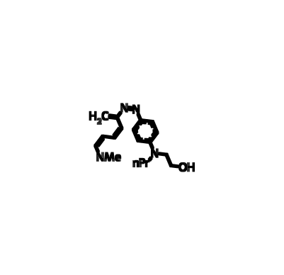 C=C(/C=C\C=C/NC)/N=N\c1ccc(N(CCC)CCO)cc1